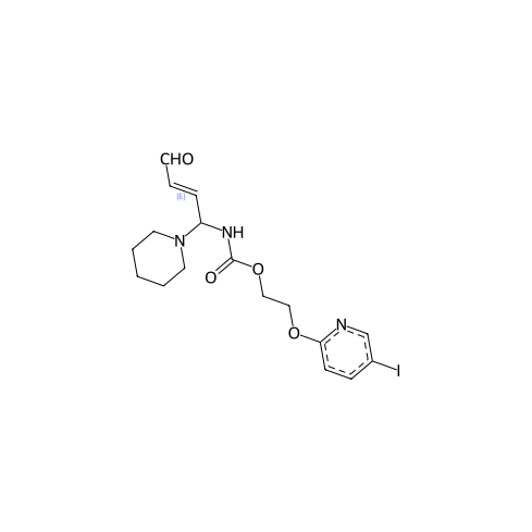 O=C/C=C/C(NC(=O)OCCOc1ccc(I)cn1)N1CCCCC1